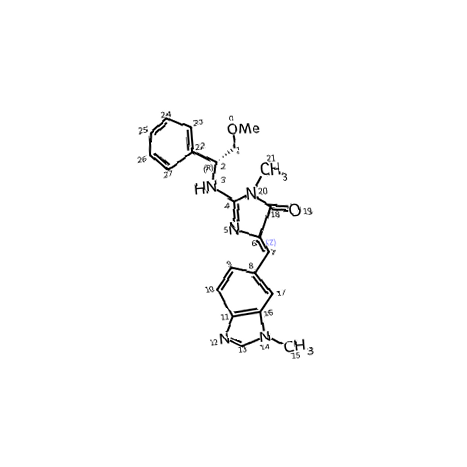 COC[C@H](NC1=N/C(=C\c2ccc3ncn(C)c3c2)C(=O)N1C)c1ccccc1